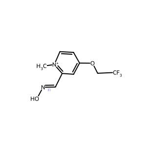 C[n+]1ccc(OCC(F)(F)F)cc1/C=N/O